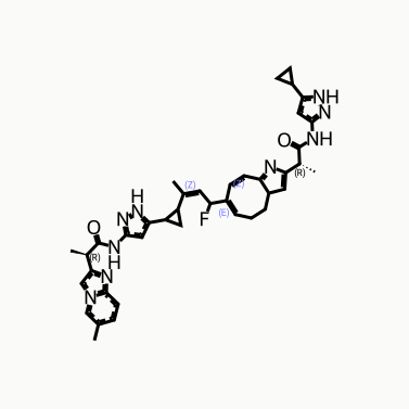 C/C(=C/C(F)C1=C/CCC2C=C([C@@H](C)C(=O)Nc3cc(C4CC4)[nH]n3)N=C2/C=C\1)C1CC1c1cc(NC(=O)[C@H](C)c2cn3cc(C)ccc3n2)n[nH]1